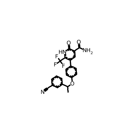 CC(Oc1ccc(-c2cc(C(N)=O)c(=O)[nH]c2C(F)(F)F)cc1)c1cccc(C#N)c1